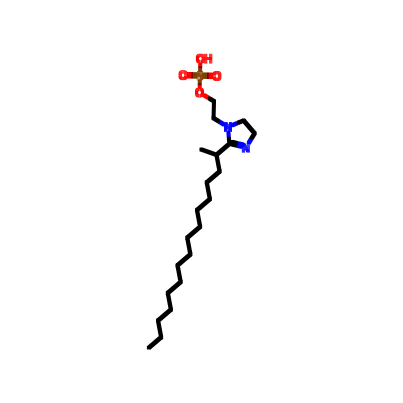 CCCCCCCCCCCCCCC(C)C1=NCCN1CCOS(=O)(=O)O